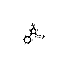 O=C(O)c1oc(Br)cc1-c1ccccc1